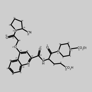 CCOC(=O)N1CCN(C(=O)C(CCC(=O)O)NC(=O)c2cc(OCC(=O)N3CCCC3C#N)c3ccccc3n2)CC1